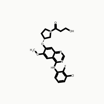 COc1cc2c(Nc3cccc(Cl)c3F)ncnc2cc1O[C@@H]1CCN(C(=O)CCO)C1